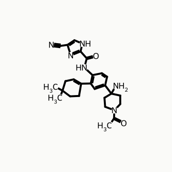 CC(=O)N1CCC(N)(c2ccc(NC(=O)c3nc(C#N)c[nH]3)c(C3=CCC(C)(C)CC3)c2)CC1